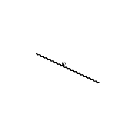 CCCCCCCCCCCCCCCCCCCCCCC(=O)CCCCCCCCCCCCCCCC